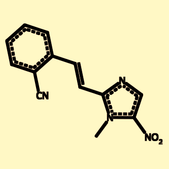 Cn1c([N+](=O)[O-])cnc1C=Cc1ccccc1C#N